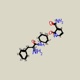 NC(=O)c1cccnc1O[C@H]1CC[C@H](NC(=O)[C@@H](N)Cc2ccccc2)CC1